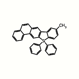 Cc1ccc2c(c1)-c1cc3ccc4ccccc4c3cc1[Si]2(c1ccccc1)c1ccccc1